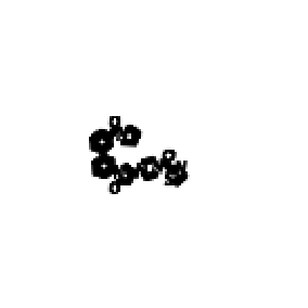 O=C(c1cccc(-c2cccc(N3CC(N4CCN(C(=O)c5nccs5)CC4)CC3=O)c2)c1)N1CCCC1